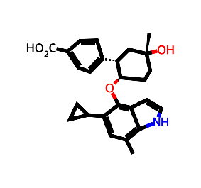 Cc1cc(C2CC2)c(O[C@@H]2CC[C@@](C)(O)C[C@H]2c2ccc(C(=O)O)cc2)c2cc[nH]c12